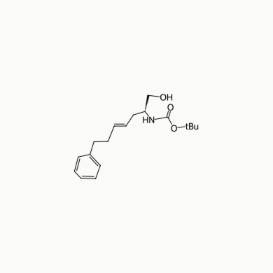 CC(C)(C)OC(=O)N[C@H](CO)C/C=C/CCc1ccccc1